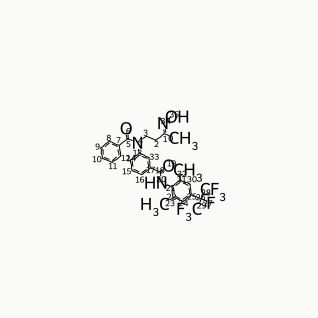 CC(CCN(C(=O)c1ccccc1)c1cccc(C(=O)Nc2c(C)cc(C(F)(C(F)(F)F)C(F)(F)F)cc2C)c1)=NO